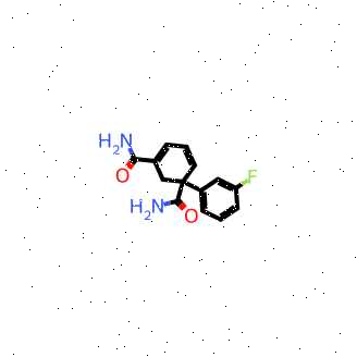 NC(=O)C1=CC=CC(C(N)=O)(c2cccc(F)c2)C1